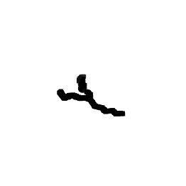 CCCCCCC(CCCC)COC=O